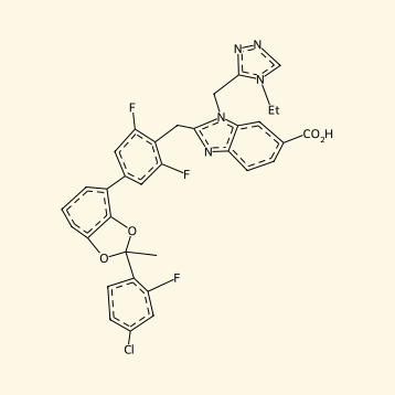 CCn1cnnc1Cn1c(Cc2c(F)cc(-c3cccc4c3OC(C)(c3ccc(Cl)cc3F)O4)cc2F)nc2ccc(C(=O)O)cc21